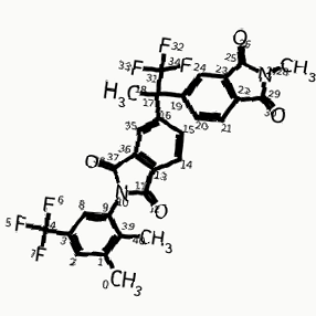 Cc1cc(C(F)(F)F)cc(N2C(=O)c3ccc(C(C)(c4ccc5c(c4)C(=O)N(C)C5=O)C(F)(F)F)cc3C2=O)c1C